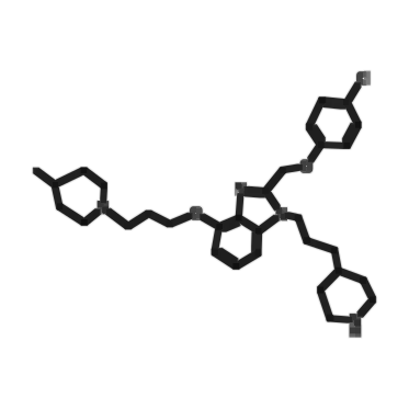 CC1CCN(CCCOc2cccc3c2nc(COc2ccc(Cl)cc2)n3CCCC2CCNCC2)CC1